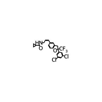 O=C(NC/C=C\c1ccc2c(c1)CC(c1cc(Cl)cc(Cl)c1)(C(F)(F)F)O2)C1CC1